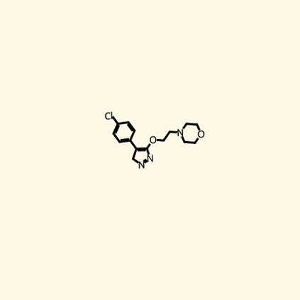 Clc1ccc(C2=C(OCCN3CCOCC3)N=NC2)cc1